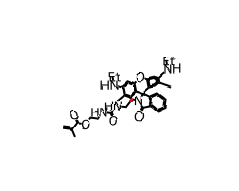 C=C(C)C(=O)OCCNC(=O)NCCN1C(=O)c2ccccc2C12c1cc(C)c(NCC)cc1Oc1cc(NCC)c(C)cc12